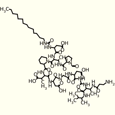 CCCCCCCCCCCCCCNC(=O)NC(CC(=O)O)C(=O)NC(C(=O)N1CCCCC1C(=O)NC(C(=O)NC(CC(=O)O)C(=O)NCC(=O)NC(CC(=O)O)C(=O)NC(=O)NC(C(=O)NC(C)C(C)C)C(C)NC(=O)CCN)C(C)C(=O)O)C(C)NC(=O)C1CCCN1C=O